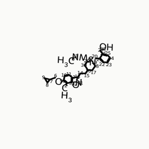 CNC.Cc1c(OCC2CC2)ccc2c(CCC3CCN(Cc4ccccc4CO)CC3)noc12